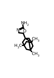 CC12CC3(C)CC(C)(C1)CC(C1CN=C(N)O1)(C2)C3